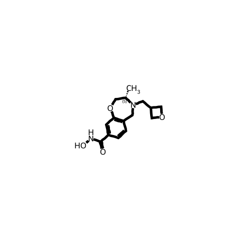 C[C@H]1COc2cc(C(=O)NO)ccc2CN1CC1COC1